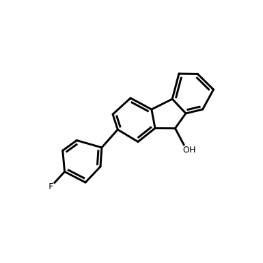 OC1c2ccccc2-c2ccc(-c3ccc(F)cc3)cc21